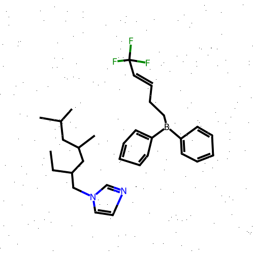 CCC(CC(C)CC(C)C)Cn1ccnc1.FC(F)(F)C=CCCB(c1ccccc1)c1ccccc1